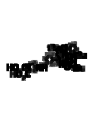 CC(C)(C)OC(=O)N(Cc1c(Cl)cccc1Cl)c1nc(-c2cccc(CCNC3CCN(C(=O)O)[C@@H](C(=O)O)C3)c2)cnc1N(C(=O)OC(C)(C)C)C(=O)OC(C)(C)C